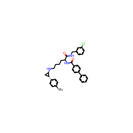 CC(C)(C)c1ccc([C@@H]2C[C@H]2NCCCCC(NC(=O)c2ccc(-c3ccccc3)cc2)C(=O)NCc2cccc(Cl)c2)cc1